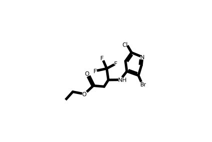 CCOC(=O)CC(Nc1cc(Cl)ncc1Br)C(F)(F)F